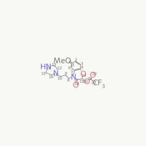 COc1ccc2c(c1)N(CCCN1CCNCC1)C(=O)C(OC(=O)C(F)(F)F)O2